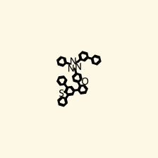 c1ccc(-c2cccc(-c3nc(-c4ccccc4)nc(-c4ccc5c(c4)oc4cccc(-c6cc(-c7ccccc7)c7sc8ccccc8c7c6)c45)n3)c2)cc1